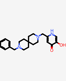 O=c1cc(CN2CCC3(CCN(Cc4ccccc4)CC3)CC2)[nH]cc1O